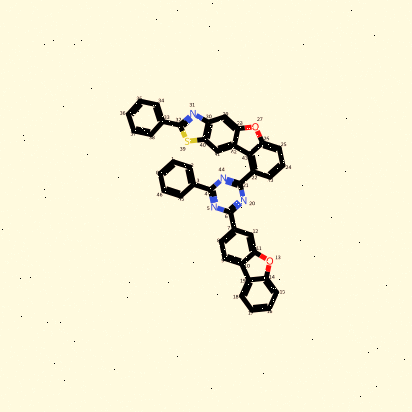 c1ccc(-c2nc(-c3ccc4c(c3)oc3ccccc34)nc(-c3cccc4oc5cc6nc(-c7ccccc7)sc6cc5c34)n2)cc1